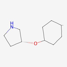 [CH]1CCC(O[C@@H]2CCNC2)CC1